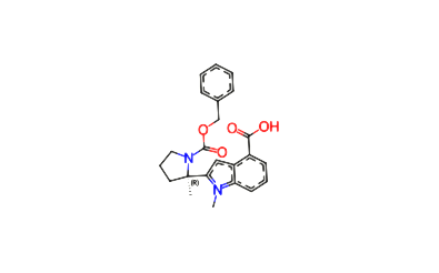 Cn1c([C@@]2(C)CCCN2C(=O)OCc2ccccc2)cc2c(C(=O)O)cccc21